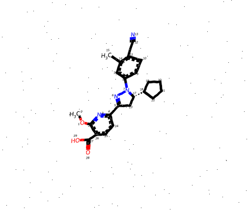 COc1nc(C2=NN(c3ccc(C#N)c(C)c3)[C@H](C3CCCC3)C2)ccc1C(=O)O